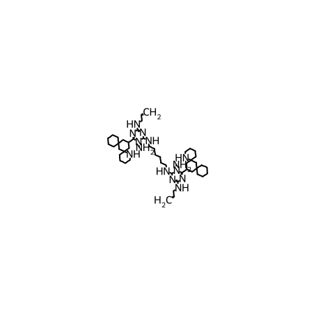 C=CCNC1=NC(NCCCCCCNC2N=C(NCC=C)N=C(C3CC4(CCCCC4)CC4(CCCCN4)C3)N2N)N(N)C(C2CC3(CCCCC3)CC3(CCCCN3)C2)=N1